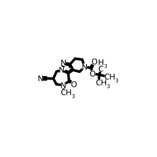 CN1CC(C#N)Cn2nc3c(c2C1=O)CN(C(=O)OC(C)(C)C)CC3